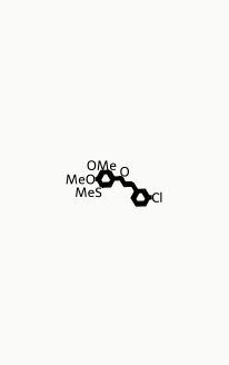 COc1cc(OC)c(C(=O)/C=C/c2cccc(Cl)c2)cc1SC